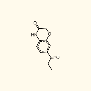 CCC(=O)c1ccc2c(c1)OCC(=O)N2